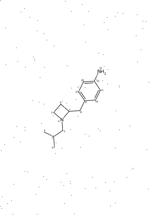 C[C](C)CN1CCC1Cc1ccc(N)cc1